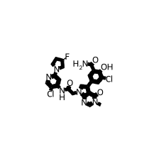 Cn1cnc2c(c(-c3cc(Cl)c(O)c(C(N)=O)c3)cn2CC(=O)Nc2cc(N3CC[C@H](F)C3)ncc2Cl)c1=O